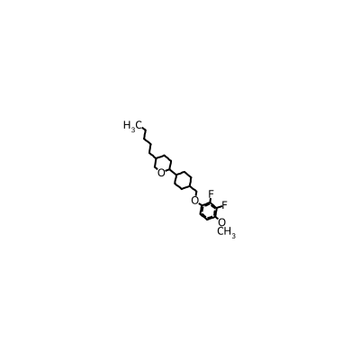 CCCCCC1CCC(C2CCC(COc3ccc(OC)c(F)c3F)CC2)OC1